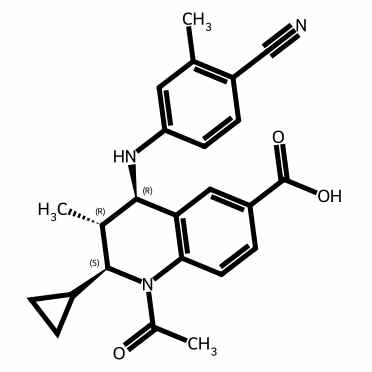 CC(=O)N1c2ccc(C(=O)O)cc2[C@H](Nc2ccc(C#N)c(C)c2)[C@@H](C)[C@@H]1C1CC1